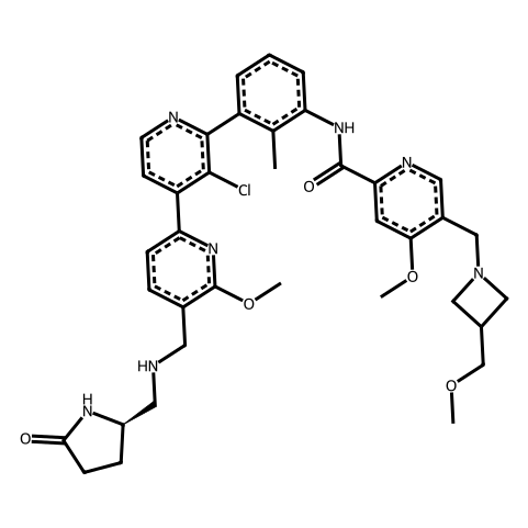 COCC1CN(Cc2cnc(C(=O)Nc3cccc(-c4nccc(-c5ccc(CNC[C@H]6CCC(=O)N6)c(OC)n5)c4Cl)c3C)cc2OC)C1